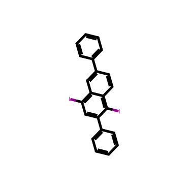 Ic1cc(-c2ccccc2)c(I)c2ccc(-c3ccccc3)cc12